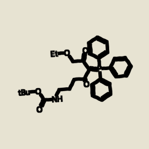 CCOCC(=O)C(C(=O)CCCNC(=O)OC(C)(C)C)=P(c1ccccc1)(c1ccccc1)c1ccccc1